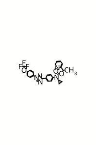 CC(OC(=O)N(c1ccc(-c2ncn(-c3ccc(OC(F)(F)F)cc3)n2)cc1)C1CC1)c1ccccn1